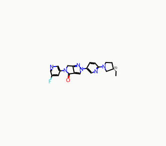 CC[C@H]1CCN(c2ccc(-n3cc4c(n3)CN(c3cncc(F)c3)C4=O)cn2)C1